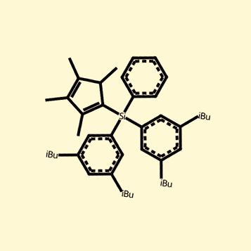 CCC(C)c1cc(C(C)CC)cc([Si](C2=C(C)C(C)=C(C)C2C)(c2ccccc2)c2cc(C(C)CC)cc(C(C)CC)c2)c1